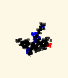 Cc1c(-c2ccnn2-c2ccc(C#N)cc2)cn2nc(NCCCC[N+](C)(C)C)nc2c1-c1cccc(C(F)(F)F)c1.O=CO